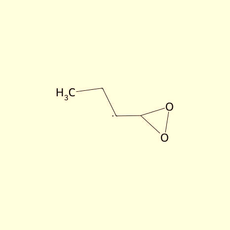 CC[CH]C1OO1